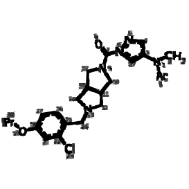 CC(=O)N(C)c1cnn(C(=O)N2CC3CN(Cc4ccc(OC(C)C)cc4Cl)CC3C2)c1